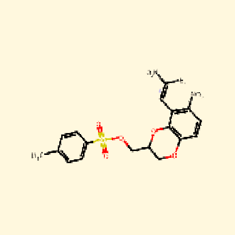 CC/C(=C\c1c([N+](=O)[O-])ccc2c1OC(COS(=O)(=O)c1ccc(C)cc1)CO2)[N+](=O)[O-]